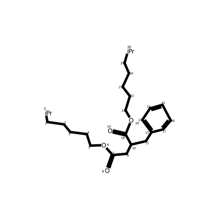 CC(C)CCCCCOC(=O)CC(Cc1ccccc1)C(=O)OCCCCCC(C)C